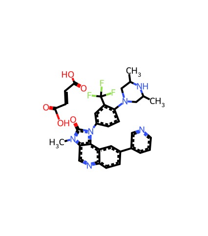 CC1CN(c2ccc(-n3c(=O)n(C)c4cnc5ccc(-c6cccnc6)cc5c43)cc2C(F)(F)F)CC(C)N1.O=C(O)C=CC(=O)O